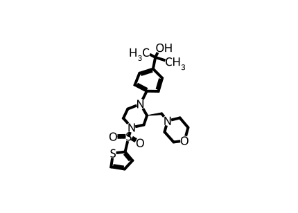 CC(C)(O)c1ccc(N2CCN(S(=O)(=O)c3cccs3)C[C@@H]2CN2CCOCC2)cc1